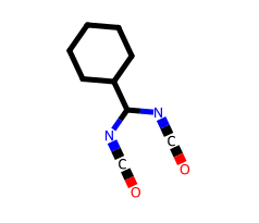 O=C=NC(N=C=O)C1CCCCC1